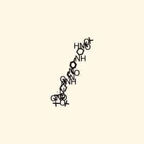 CC(C)(C)OC(=O)N[C@H]1CC[C@H](NCc2ccc(-n3ccc(NC(=O)N4CCN(C(=O)[C@]5(C)CO[C@H](C(C)(C)C)N5C(=O)OC(C)(C)C)CC4)nc3=O)cc2)CC1